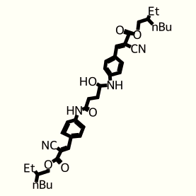 CCCCC(CC)COC(=O)/C(C#N)=C/c1ccc(NC(=O)CCC(O)Nc2ccc(/C=C(\C#N)C(=O)OCC(CC)CCCC)cc2)cc1